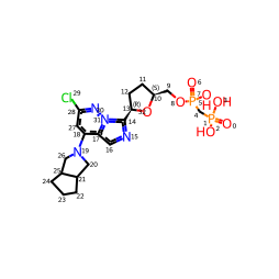 O=P(O)(O)CP(=O)(O)OC[C@@H]1CC[C@H](c2ncc3c(N4CC5CCCC5C4)cc(Cl)nn23)O1